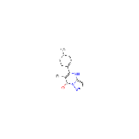 CC(C)c1c(C2=CCC(C#N)CC2)[nH]c2ccnn2c1=O